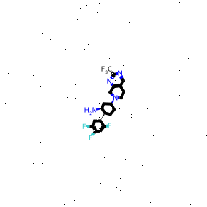 N[C@H]1C[C@@H](N2CCc3cnc(C(F)(F)F)nc3C2)CCC1[C@H]1CC(F)=C(F)C=C1F